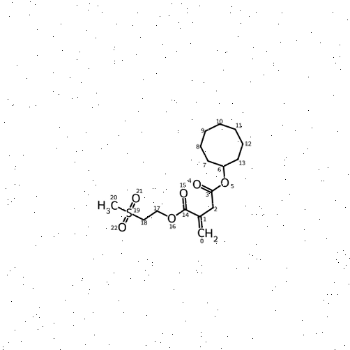 C=C(CC(=O)OC1CCCCCCC1)C(=O)OCCS(C)(=O)=O